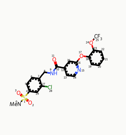 CNS(=O)(=O)c1ccc(CNC(=O)c2ccnc(Oc3ccccc3OC(F)(F)F)c2)c(Cl)c1